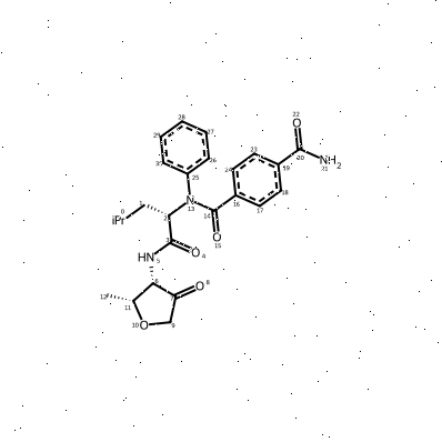 CC(C)C[C@@H](C(=O)N[C@@H]1C(=O)CO[C@@H]1C)N(C(=O)c1ccc(C(N)=O)cc1)c1ccccc1